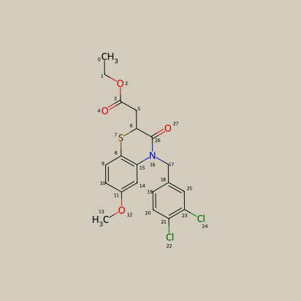 CCOC(=O)CC1Sc2ccc(OC)cc2N(Cc2ccc(Cl)c(Cl)c2)C1=O